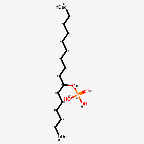 CCCCCCCCCCCCCCCCCCC(CCCCCCCCCCCCCCC)OP(=O)(O)O